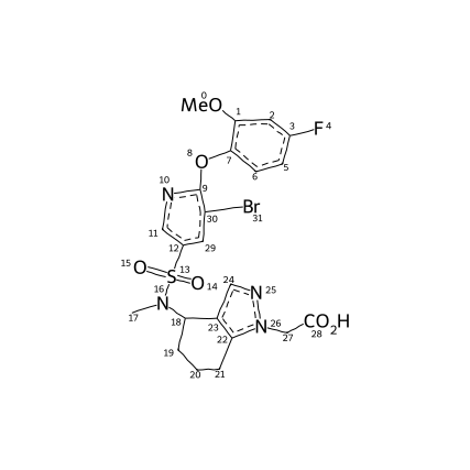 COc1cc(F)ccc1Oc1ncc(S(=O)(=O)N(C)C2CCCc3c2cnn3CC(=O)O)cc1Br